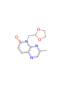 Cc1cnc2ccc(=O)n(CC3OCCO3)c2n1